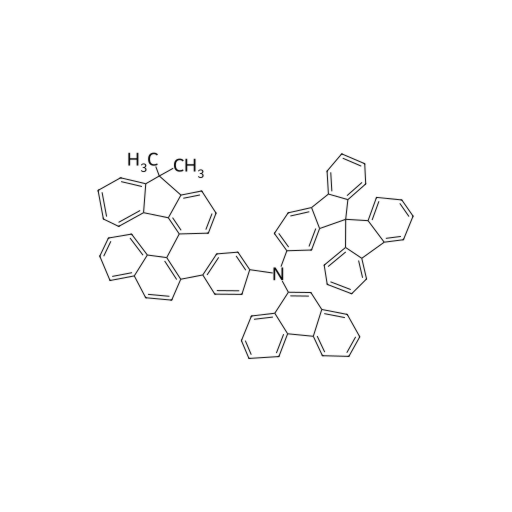 CC1(C)c2ccccc2-c2c(-c3c(-c4ccc(N(c5ccc6c(c5)C5(c7ccccc7-c7ccccc75)c5ccccc5-6)c5cc6ccccc6c6ccccc56)cc4)ccc4ccccc34)cccc21